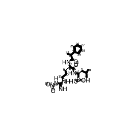 CC(C)C[C@H](NC(=O)[C@H](CCCNC(=N)N[N+](=O)[O-])NC(=O)C(C)c1ccccc1)B(O)O